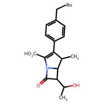 CCC(C)Cc1ccc(C2=C(C(=O)O)N3C(=O)C(C(C)O)C3C2C)cc1